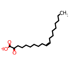 CCCCCCCC/C=C\CCCCCCCC(=O)C(=O)O